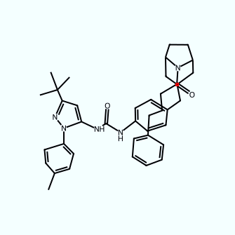 Cc1ccc(-n2nc(C(C)(C)C)cc2NC(=O)Nc2ccc(CC3CC4CCC(C3)N4C(=O)CCCc3ccccc3)cc2)cc1